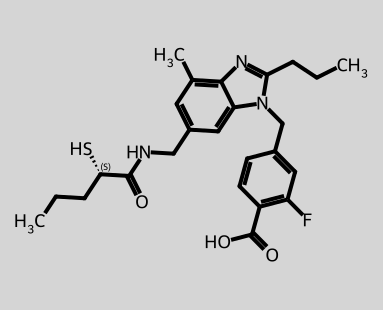 CCCc1nc2c(C)cc(CNC(=O)[C@@H](S)CCC)cc2n1Cc1ccc(C(=O)O)c(F)c1